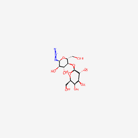 [N-]=[N+]=N[C@H]1O[C@H](CO)[C@@H](O[C@@H]2O[C@H](CO)[C@H](O)[C@H](O)[C@H]2O)[C@H](O)[C@H]1O